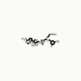 CCCCCCCCCCCCC[C@@H](COP(=O)(O)OC[C@@]1(C)OC[C@](O)(c2ccc3c(N)ncnn23)[C@@H]1O)OCc1cc(F)cc(C#N)c1